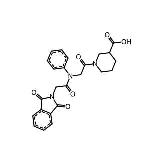 O=C(O)C1CCCN(C(=O)CN(C(=O)CN2C(=O)c3ccccc3C2=O)c2ccccc2)C1